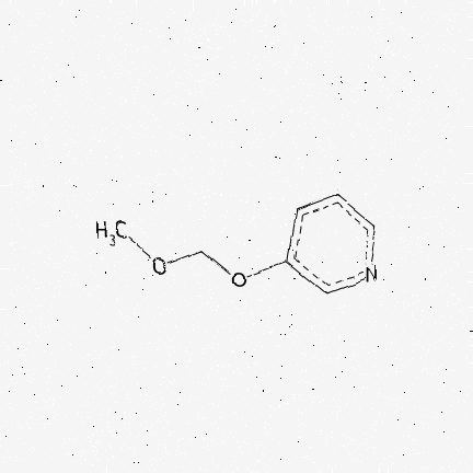 COCOc1c[c]cnc1